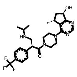 CC(C)NC[C@@H](C(=O)N1CCN(c2ncnc3c2[C@H](C)C[C@H]3O)CC1)c1ccc(C(F)(F)F)cc1